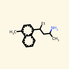 CCC(CC(C)N)c1ccc(C)c2ccccc12